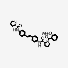 COc1ccccc1C(=O)N1CCC[C@H]1C(=O)Nc1ccc(/C=C/c2ccc(NC(=O)[C@@H]3CCCN3)cc2)cc1